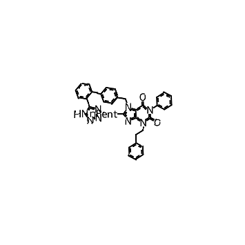 CCCCCc1nc2c(c(=O)n(-c3ccccc3)c(=O)n2CCc2ccccc2)n1Cc1ccc(-c2ccccc2-c2nnn[nH]2)cc1